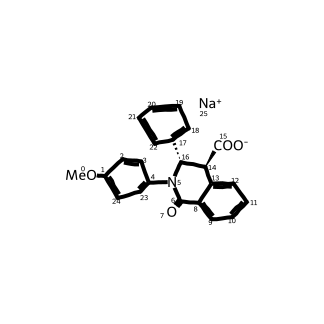 COc1ccc(N2C(=O)c3ccccc3[C@H](C(=O)[O-])[C@H]2c2ccccc2)cc1.[Na+]